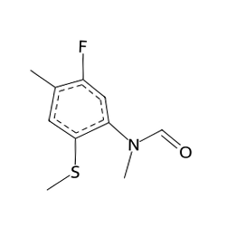 CSc1cc(C)c(F)cc1N(C)C=O